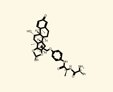 CCC[C@@H]1O[C@@H]2C[C@H]3[C@@H]4CCC5=CC(=O)C=C[C@]5(C)[C@H]4[C@@H](O)C[C@]3(C)[C@]2(C(=O)COc2ccc(NC(=O)[C@H](C)NC(=O)[C@@H](N)C(C)C)cc2)O1